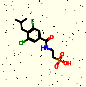 CC(C)Cc1c(F)cc(C(=O)NCCS(=O)(=O)O)cc1Cl